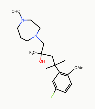 COc1ccc(F)cc1C(C)(C)CC(O)(CN1CCCN(C=O)CC1)C(F)(F)F